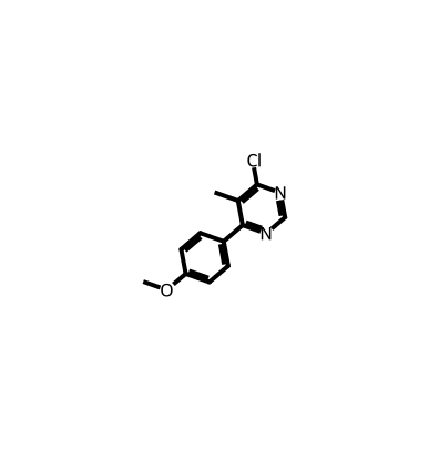 COc1ccc(-c2ncnc(Cl)c2C)cc1